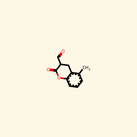 Cc1cccc2c1CC(C=O)C(=O)O2